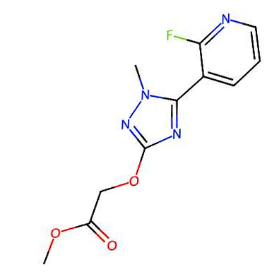 COC(=O)COc1nc(-c2cccnc2F)n(C)n1